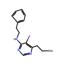 CC(=O)OCCc1ncnc(NCCc2ccccc2)c1I